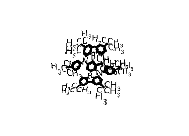 CC(C)(C)c1ccc(N2c3cc(C(C)(C)C)cc4c3B(c3ccc(C(C)(C)C)cc3-4)c3c2cc2c(c3C(C)(C)C)N(c3ccc(C(C)(C)C)cc3)c3cc(C(C)(C)C)cc4c3B2c2ccc(C(C)(C)C)cc2-4)cc1